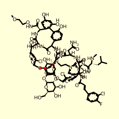 CN[C@H](CC(C)C)C(=O)N[C@H]1C(=O)N[C@@H](CC(N)=O)C(=O)N[C@H]2C(=O)N[C@H]3C(=O)N[C@H](C(=O)N[C@@H](C(=O)NOCCOC)c4cc(O)cc(O)c4-c4cc3ccc4O)[C@H](O)c3ccc(c(Cl)c3)Oc3cc2cc(c3O[C@@H]2O[C@H](CO)[C@@H](O)[C@H](O)[C@H]2O[C@H]2C[C@](C)(NCCn3ccc(NC(=O)/C=C/c4ccc(F)c(Cl)c4)nc3=O)[C@H](O)[C@H](C)O2)Oc2ccc(cc2Cl)[C@H]1O